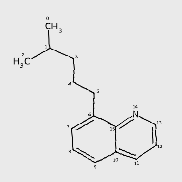 CC(C)CCCc1cccc2cccnc12